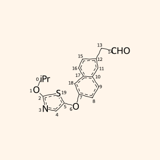 CC(C)Oc1ncc(Oc2ccc3cc(CC=O)ccc3c2)s1